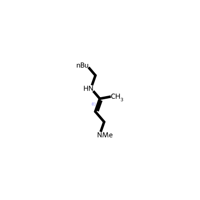 CCCCCN/C(C)=C/CNC